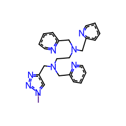 In1cc(CN(CCN(Cc2ccccn2)Cc2ccccn2)Cc2ccccn2)nn1